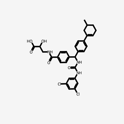 CC1CCC=C(c2ccc(C(NC(=O)Nc3cc(Cl)cc(Cl)c3)c3ccc(C(=O)NCC(O)C(=O)O)cc3)cc2)C1